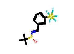 CC(C)(C)[S@@+]([O-])/N=C/c1cccc(S(F)(F)(F)(F)F)c1